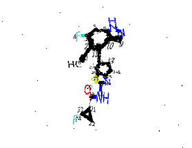 C#Cc1c(F)cc2[nH]ncc2c1-c1ccc2nc(NC(=O)[C@@H]3C[C@@H]3F)sc2c1